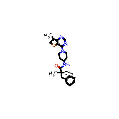 Cc1csc2c(N3CCC(NC(=O)C(C)(C)Cc4ccccc4)CC3)ncnc12